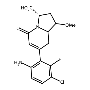 COC1C[C@@H](C(=O)O)N2C(=O)C=C(c3c(N)ccc(Cl)c3F)CC12